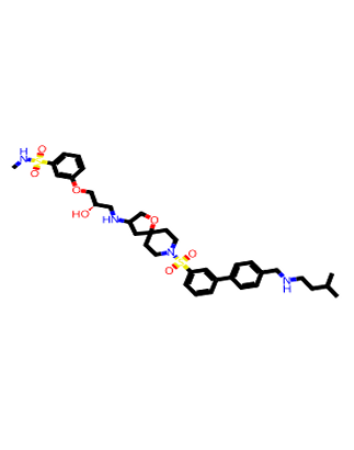 CNS(=O)(=O)c1cccc(OC[C@@H](O)CNC2COC3(CCN(S(=O)(=O)c4cccc(-c5ccc(CNCCC(C)C)cc5)c4)CC3)C2)c1